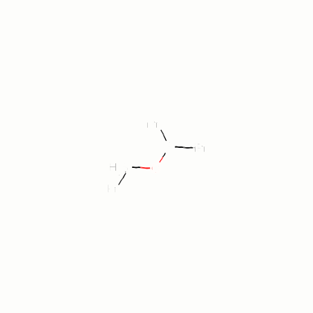 CC(C)[SiH2]O[Si](C(C)C)C(C)C